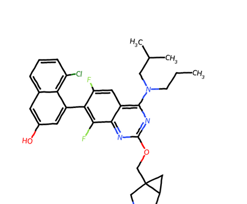 CCCN(CC(C)C)c1nc(OCC23CNCC2C3)nc2c(F)c(-c3cc(O)cc4cccc(Cl)c34)c(F)cc12